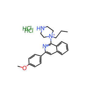 CCC[N+]1(c2nc(-c3ccc(OC)cc3)cc3ccccc23)CCNCC1.Cl.Cl